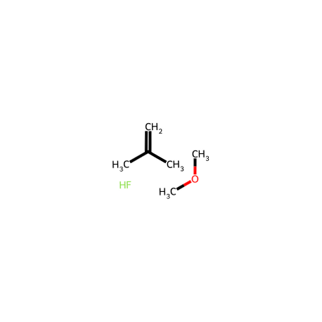 C=C(C)C.COC.F